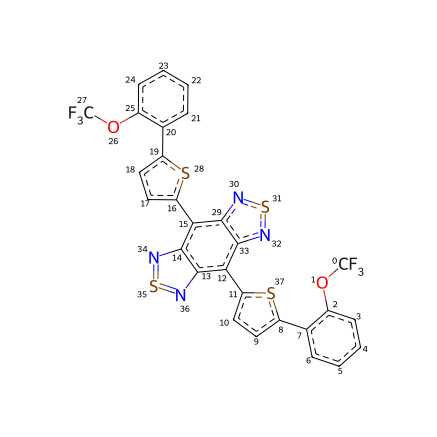 FC(F)(F)Oc1ccccc1-c1ccc(-c2c3c(c(-c4ccc(-c5ccccc5OC(F)(F)F)s4)c4nsnc24)N=S=N3)s1